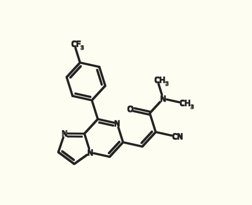 CN(C)C(=O)/C(C#N)=C\c1cn2ccnc2c(-c2ccc(C(F)(F)F)cc2)n1